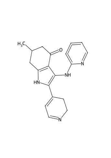 CC1CC(=O)c2c([nH]c(C3=CC=NCC3)c2NC2=C=C=CC=N2)C1